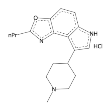 CCCc1nc2c(ccc3[nH]cc(C4CCN(C)CC4)c32)o1.Cl